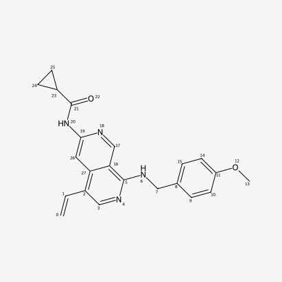 C=Cc1cnc(NCc2ccc(OC)cc2)c2cnc(NC(=O)C3CC3)cc12